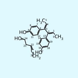 C/C=C(/C(=C/C)c1ccc(O)cc1)c1ccc(O)cc1.C=C=CCCO